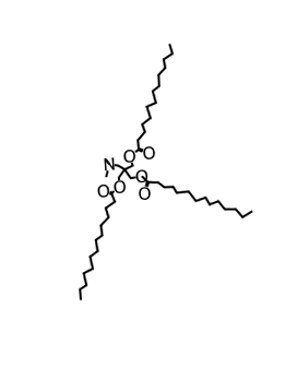 CCCCCCCCCCCCCC(=O)OCC(COC(=O)CCCCCCCCCCCCC)(COC(=O)CCCCCCCCCCCCC)CN(C)C